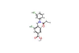 CCC(=O)N(Cc1ccc(C(=O)OC)cc1F)c1cccc(F)c1